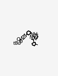 Cc1cccc(-c2cnc(Nc3cccc(N4CCN(C(=O)OC(C)(C)C)CC4)c3)c3nccn23)c1